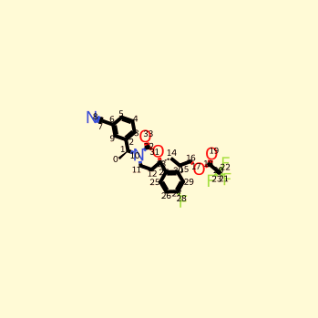 C[C@@H](c1cccc(C#N)c1)N1CC[C@](CCCOC(=O)C(F)(F)F)(c2ccc(F)cc2)OC1=O